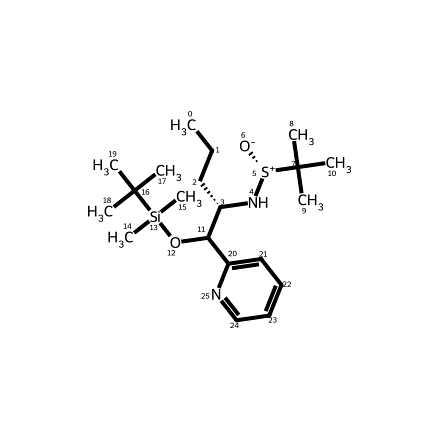 CCC[C@H](N[S@+]([O-])C(C)(C)C)C(O[Si](C)(C)C(C)(C)C)c1ccccn1